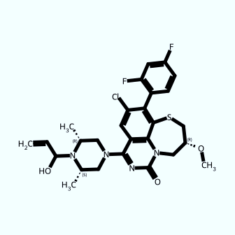 C=CC(O)N1[C@H](C)CN(c2nc(=O)n3c4c(c(-c5ccc(F)cc5F)c(Cl)cc24)SC[C@H](OC)C3)C[C@@H]1C